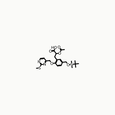 CSc1nccc(COc2ccc(CO[Si](C)(C)C(C)(C)C)cc2CC(OC(C)=O)C(=O)O)n1